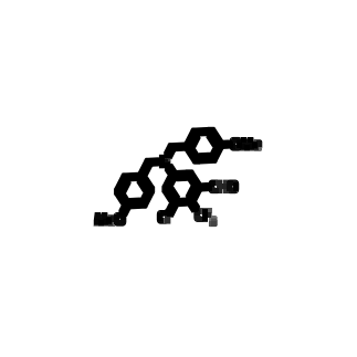 COc1ccc(CN(Cc2ccc(OC)cc2)c2cc(Cl)c(C(F)(F)F)c(C=O)c2)cc1